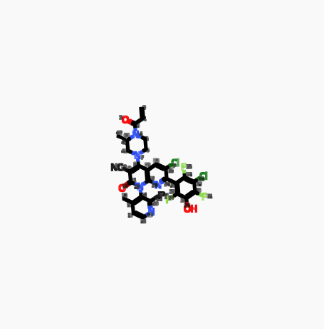 C=CC(=O)N1CCN(c2c(C#N)c(=O)n(-c3c(C)ccnc3C(C)C)c3nc(-c4c(F)c(O)c(F)c(Cl)c4F)c(Cl)cc23)C[C@H]1C